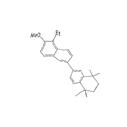 CCc1c(OC)ccc2cc(-c3ccc4c(c3)C(C)(C)CCC4(C)C)ccc12